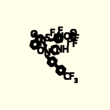 O=C(Cn1c(SCc2cccc(F)c2F)cc(=O)c2ccccc21)N(Cc1ccc(-c2ccc(C(F)(F)F)cc2)cc1)C1CCNCC1.O=C(O)C(F)(F)F